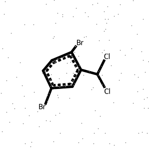 ClC(Cl)c1cc(Br)ccc1Br